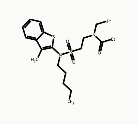 CCC(=O)N(CCS(=O)(=O)N(CCCCC(F)(F)F)c1sc2ccccc2c1C)CC(C)C